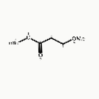 CCCCOC(=O)CCOC